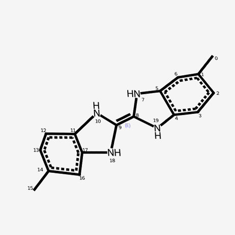 Cc1ccc2c(c1)N/C(=C1\Nc3ccc(C)cc3N1)N2